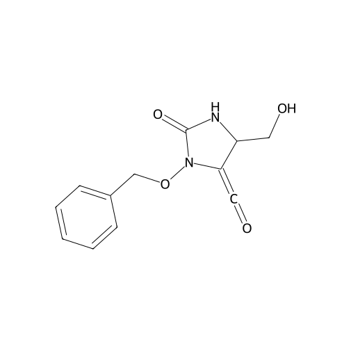 O=C=C1C(CO)NC(=O)N1OCc1ccccc1